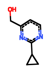 OCc1ccnc(C2CC2)n1